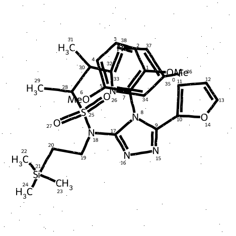 COc1cccc(OC)c1-n1c(-c2ccco2)nnc1N(CC[Si](C)(C)C)S(=O)(=O)C(C)C(C)c1ncc(F)cn1